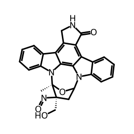 C[C@]12OC(C[C@@]1(CO)N=O)n1c3ccccc3c3c4c(c5c6ccccc6n2c5c31)CNC4=O